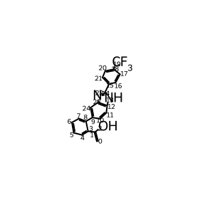 C=C(O)c1ccccc1-c1ccc2[nH]c(-c3ccc(C(F)(F)F)cc3)nc2c1